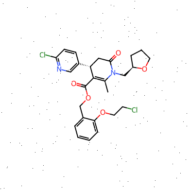 CC1=C(C(=O)OCc2ccccc2OCCCl)[C@H](c2ccc(Cl)nc2)CC(=O)N1C[C@H]1CCCO1